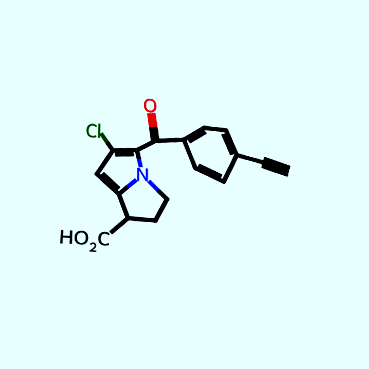 C#Cc1ccc(C(=O)c2c(Cl)cc3n2CCC3C(=O)O)cc1